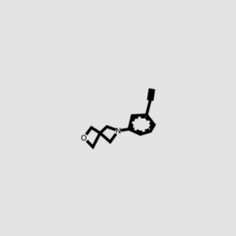 C#Cc1cccc(N2CC3(COC3)C2)c1